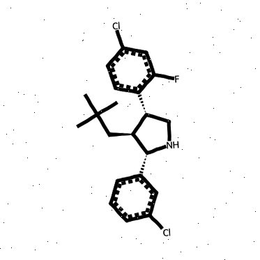 CC(C)(C)C[C@@H]1[C@@H](c2cccc(Cl)c2)NC[C@H]1c1ccc(Cl)cc1F